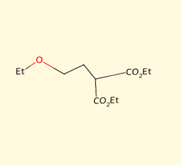 CCOCCC(C(=O)OCC)C(=O)OCC